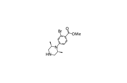 COC(=O)c1ccc(N2[C@H](C)CNC[C@@H]2C)cc1Br